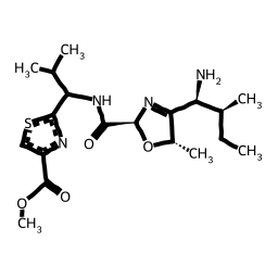 CC[C@H](C)[C@H](N)C1=N[C@H](C(=O)NC(c2nc(C(=O)OC)cs2)C(C)C)O[C@H]1C